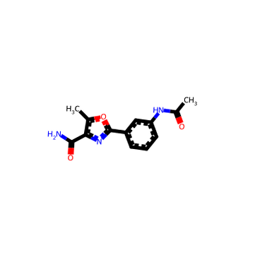 CC(=O)Nc1cccc(-c2nc(C(N)=O)c(C)o2)c1